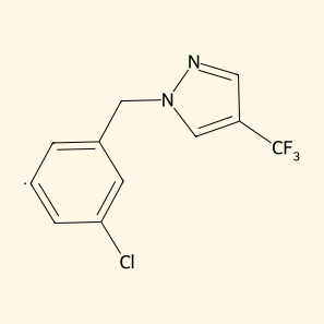 FC(F)(F)c1cnn(Cc2c[c]cc(Cl)c2)c1